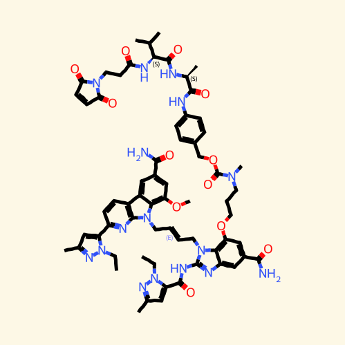 CCn1nc(C)cc1C(=O)Nc1nc2cc(C(N)=O)cc(OCCCN(C)C(=O)OCc3ccc(NC(=O)[C@H](C)NC(=O)[C@@H](NC(=O)CCN4C(=O)C=CC4=O)C(C)C)cc3)c2n1C/C=C/Cn1c2nc(-c3cc(C)nn3CC)ccc2c2cc(C(N)=O)cc(OC)c21